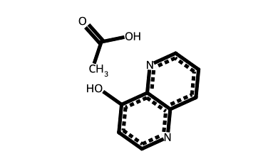 CC(=O)O.Oc1ccnc2cccnc12